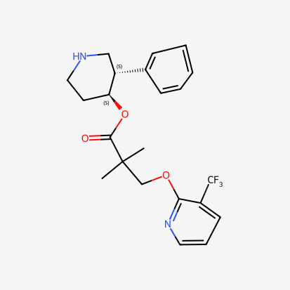 CC(C)(COc1ncccc1C(F)(F)F)C(=O)O[C@H]1CCNC[C@@H]1c1ccccc1